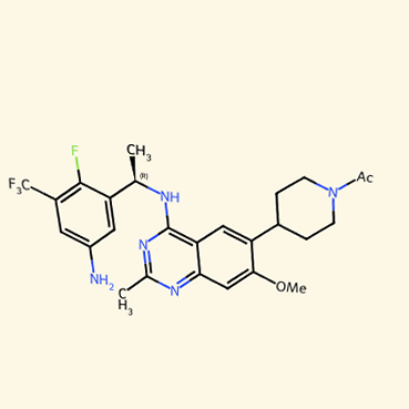 COc1cc2nc(C)nc(N[C@H](C)c3cc(N)cc(C(F)(F)F)c3F)c2cc1C1CCN(C(C)=O)CC1